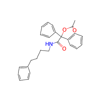 CC(=O)OC(C(=O)NCCCCc1ccccc1)(c1ccccc1)c1ccccc1